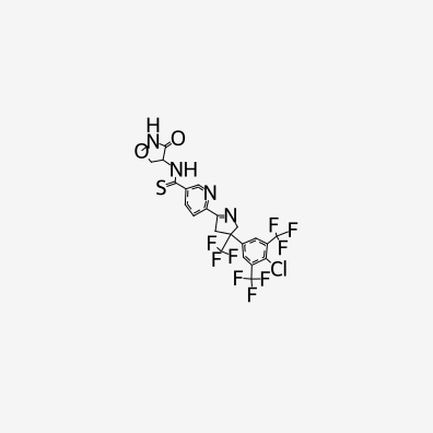 O=C1NOCC1NC(=S)c1ccc(C2=NCC(c3cc(C(F)(F)F)c(Cl)c(C(F)(F)F)c3)(C(F)(F)F)C2)nc1